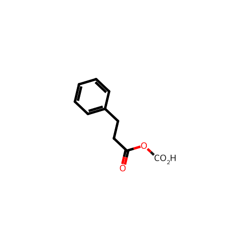 O=C(O)OC(=O)CCc1ccccc1